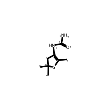 CC1=C(NC(N)=O)CC(C)(C)S1